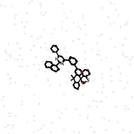 CC1(C)c2ccccc2C2(c3ccccc3Sc3ccccc32)c2ccc(-c3cccc(-c4cc(-c5ccccc5)nc(-c5cccc6ccccc56)n4)c3)cc21